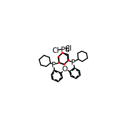 [Cl][Pd][Cl].c1ccc(P(C2CCCCC2)C2CCCCC2)c(Oc2ccccc2P(C2CCCCC2)C2CCCCC2)c1